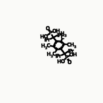 Cc1c(C)c(C(C(C)C)(C(C)C)P(=O)(O)O)c(C)c(C)c1C(C(C)C)(C(C)C)P(=O)(O)O